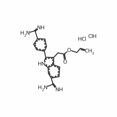 C=CCOC(=O)Cc1c(-c2ccc(C(=N)N)cc2)[nH]c2cc(C(=N)N)ccc12.Cl.Cl